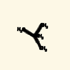 CCCCCCCCCCCCCCCCCCCCC(CCCCCCCCCCCCCCCCCCCC)(CCCCCCCCCCCCCCCCCCCC)CO[SiH3]